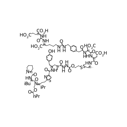 CCCC(=O)OCN(C(=O)[C@@H](NC(=O)[C@H]1CCCCN1C)C(C)CC)[C@H](CCc1nc(C(=O)N[C@@H](Cc2ccc(O)cc2)C[C@H](C)C(=O)NNC(=O)OCCSSC[C@@H](C)NC(=O)[C@H](CC(=O)O)NC(=O)[C@H](CC(=O)O)NC(=O)Cc2ccc(CNC(=O)NCCCC[C@H](NC(=O)N[C@@H](CCC(=O)O)C(=O)O)C(=O)O)cc2)cs1)C(C)C